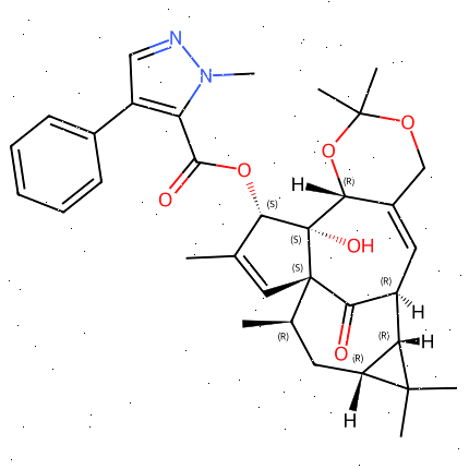 CC1=C[C@]23C(=O)[C@@H](C=C4COC(C)(C)O[C@H]4[C@]2(O)[C@H]1OC(=O)c1c(-c2ccccc2)cnn1C)[C@H]1[C@@H](C[C@H]3C)C1(C)C